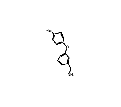 CC(C)(C)c1ccc(Oc2cccc(CN)c2)cc1